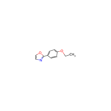 CCOc1[c]cc(-c2ncco2)cc1